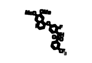 COc1cc2nccc(Oc3ccc(NS(=O)(=O)c4cccc(C(F)(F)F)c4)c(F)c3)c2cc1OC